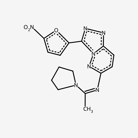 CC(=Nc1ccc2nnc(-c3ccc([N+](=O)[O-])o3)n2n1)N1CCCC1